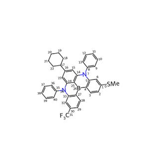 CSc1ccc2c(c1)N(c1ccccc1)c1cc(C3CCCCC3)cc3c1B2c1ccc(C(F)(F)F)cc1N3c1ccccc1